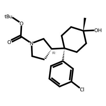 CC(C)(C)OC(=O)N1CC[C@@H]([C@]2(c3cccc(Cl)c3)CC[C@@](C)(O)CC2)C1